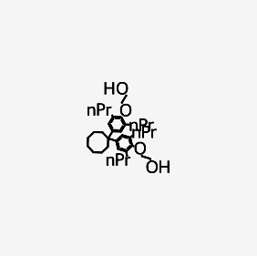 CCCc1cc(C2(c3cc(CCC)c(OCCO)c(CCC)c3)CCCCCCC2)cc(CCC)c1OCCO